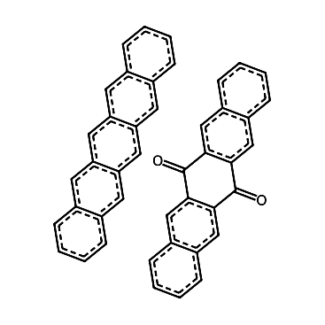 O=C1c2cc3ccccc3cc2C(=O)c2cc3ccccc3cc21.c1ccc2cc3cc4cc5ccccc5cc4cc3cc2c1